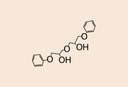 OC(COCC(O)COc1ccccc1)COc1ccccc1